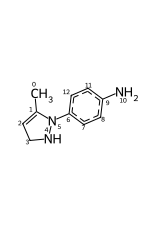 CC1=CCNN1c1ccc(N)cc1